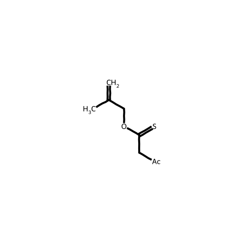 C=C(C)COC(=S)CC(C)=O